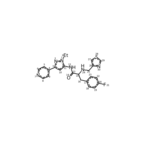 CCn1nc(-c2ccncc2)cc1NC(=O)C(Cc1ccc(F)cc1)NCc1cscn1